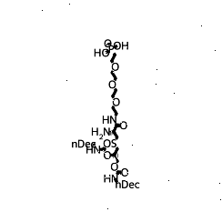 CCCCCCCCCCNC(=O)OC[C@H](CSC[C@H](N)C(=O)NCCOCCOCCOCCP(=O)(O)O)OC(=O)NCCCCCCCCCC